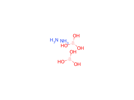 N.N.OB(O)O.OB(O)O